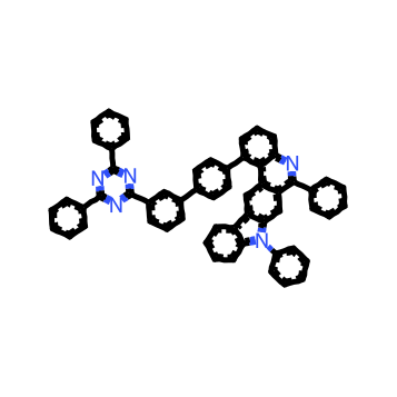 c1ccc(-c2nc(-c3ccccc3)nc(-c3cccc(-c4ccc(-c5cccc6nc(-c7ccccc7)c7cc8c(cc7c56)c5ccccc5n8-c5ccccc5)cc4)c3)n2)cc1